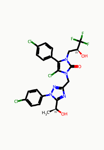 C[C@H](O)c1nc(Cn2c(Cl)c(-c3ccc(Cl)cc3)n(C[C@H](O)C(F)(F)F)c2=O)nn1-c1ccc(Cl)cc1